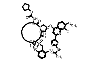 COc1ccc2c(O[C@@H]3C[C@H]4C(=O)C[C@]5(P(=O)(O)Cc6c(F)cccc6F)C[C@H]5CCCCCCC[C@H](NC(=O)OC5CCCC5)C(=O)N4C3)cc(-c3csc(NC(C)C)n3)nc2c1Cl